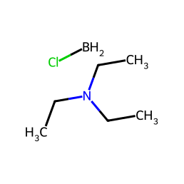 BCl.CCN(CC)CC